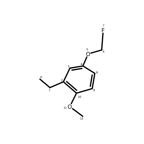 CCc1cc(OCF)ccc1OC